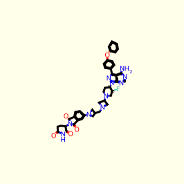 Nc1ncnc2c1c(-c1ccc(Oc3ccccc3)cc1)nn2[C@@H]1CCN(C2CN(CC3CN(c4ccc5c(c4)C(=O)N(C4CCC(=O)NC4=O)C5=O)C3)C2)C[C@@H]1F